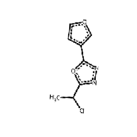 CC(Cl)c1nnc(-c2ccoc2)o1